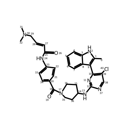 Cc1[nH]c2ccccc2c1-c1nc(NC2CCN(C(=O)c3ccc(NC(=O)/C=C/CN(C)C)cc3)CC2)ncc1Cl